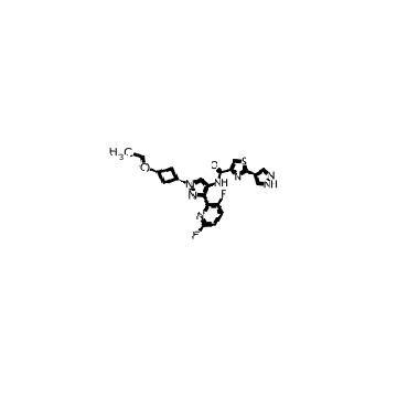 CCO[C@H]1C[C@@H](n2cc(NC(=O)c3csc(-c4cn[nH]c4)n3)c(-c3nc(F)ccc3F)n2)C1